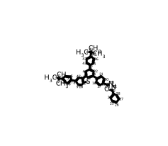 CC(C)(C)c1ccc(-c2ccc3sc4c(-c5ccc(-c6nnc(-c7ccccc7)o6)cc5)cc(-c5ccc(C(C)(C)C)cc5)cc4c3c2)cc1